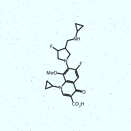 COc1c(N2CC(F)C(CNC3CC3)C2)c(F)cc2c(=O)c(C(=O)O)cn(C3CC3)c12